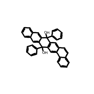 OC1(c2ccccc2)c2cc3ccccc3cc2C(O)(c2ccccc2)c2cc3c(ccc4ccccc43)cc21